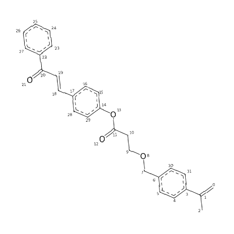 C=C(C)c1ccc(COCCC(=O)Oc2ccc(C=CC(=O)c3ccccc3)cc2)cc1